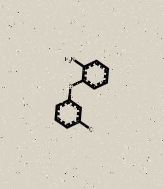 Nc1ccccc1Oc1cccc(Cl)c1